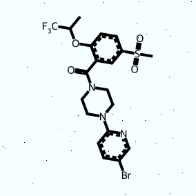 CC(Oc1ccc(S(C)(=O)=O)cc1C(=O)N1CCN(c2ccc(Br)cn2)CC1)C(F)(F)F